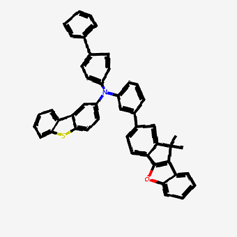 CC1(C)c2cc(-c3cccc(N(c4ccc(-c5ccccc5)cc4)c4ccc5sc6ccccc6c5c4)c3)ccc2-c2oc3ccccc3c21